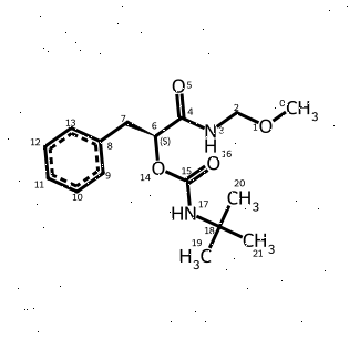 COCNC(=O)[C@H](Cc1ccccc1)OC(=O)NC(C)(C)C